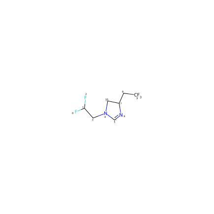 FC(F)CN1[C]=NC(CC(F)(F)F)[CH]1